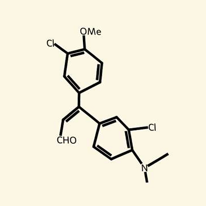 COc1ccc(C(=CC=O)c2ccc(N(C)C)c(Cl)c2)cc1Cl